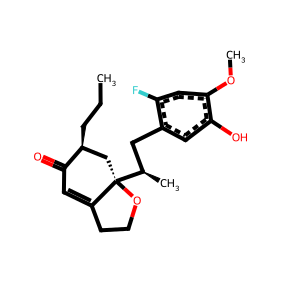 CCC[C@H]1C[C@]2([C@H](C)Cc3cc(O)c(OC)cc3F)OCCC2=CC1=O